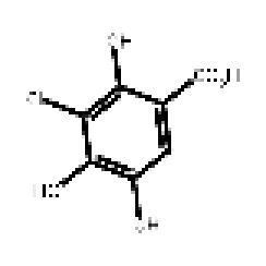 O=C(O)c1cc(O)c(O)c(Cl)c1O